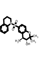 CC1(C)Oc2ccc(S(=O)(=O)N3CCCc4ccccc43)cc2[C@H](N)[C@H]1O